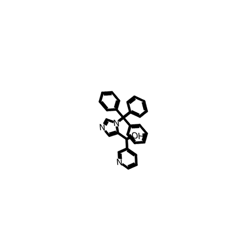 OC(c1cccnc1)c1cncn1C(c1ccccc1)(c1ccccc1)c1ccccc1